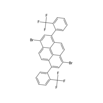 FC(F)(F)c1ccccc1-c1cc(Br)c2ccc3c(-c4ccccc4C(F)(F)F)cc(Br)c4ccc1c2c43